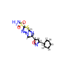 NS(=O)(=O)c1nn2cc(-c3cc(-c4ccccc4)no3)nc2s1